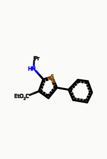 CCOC(=O)c1cc(-c2ccccc2)sc1NC(C)C